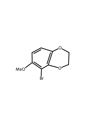 COc1ccc2c(c1Br)OCCO2